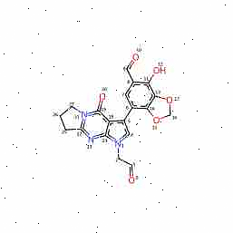 O=CCn1cc(-c2cc(C=O)c(O)c3c2OCO3)c2c(=O)n3c(nc21)CCC3